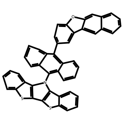 c1ccc2cc3c(cc2c1)oc1ccc(-c2c4ccccc4c(-n4c5c6ccccc6sc5c5sc6ccccc6c54)c4ccccc24)cc13